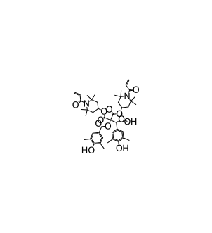 C=CC(=O)N1C(C)(C)CC(OC(=O)C(OC(=O)c2cc(C)c(O)c(C)c2)(C(=O)OC2CC(C)(C)N(C(=O)C=C)C(C)(C)C2)C(OO)c2cc(C)c(O)c(C)c2)CC1(C)C